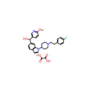 COc1ccc(C(O)c2ccc3ccn(C4CCN(CCc5ccc(F)cc5)CC4)c3c2)cn1.O=C(O)C(=O)O